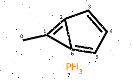 Cc1c2cccc1-2.P